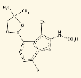 CC1(C)COB(c2ccc(F)c3sc(NC(=O)O)c(C#N)c23)O1